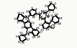 c1ccc(-c2nc(-c3cccc(-n4c5ccccc5c5cc6c(cc54)c4ccccc4n6-c4ccccc4)c3)nc(-c3cccc4oc5ccccc5c34)n2)cc1